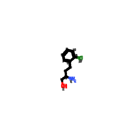 NC(CO)CCc1ccccc1Cl